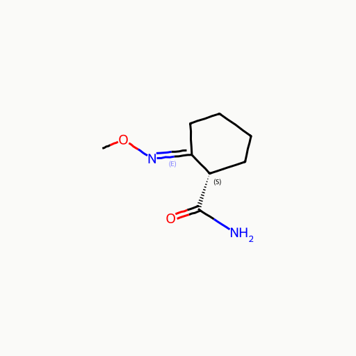 CO/N=C1\CCCC[C@@H]1C(N)=O